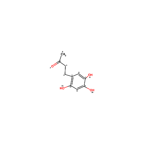 CC(=O)CCc1cc(O)c(O)cc1O